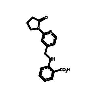 O=C(O)c1ccccc1NCc1ccnc(N2CCCC2=O)c1